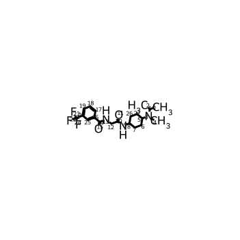 CC(C)N(C)C1CCC(NC(=O)CNC(=O)c2cccc(C(F)(F)F)c2)CC1